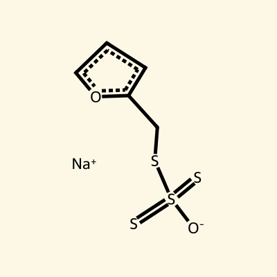 [Na+].[O-]S(=S)(=S)SCc1ccco1